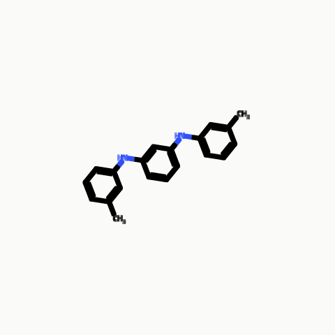 Cc1cccc(Nc2cccc(Nc3cccc(C)c3)c2)c1